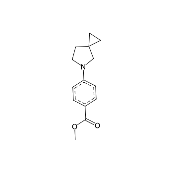 COC(=O)c1ccc(N2CCC3(CC3)C2)cc1